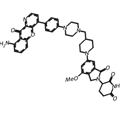 COc1cc(N2CCC(CN3CCN(c4ccc(-c5ccnc6c(=O)c7c(N)cccc7oc56)cc4)CC3)CC2)cc2c1CN(C1CCC(=O)NC1=O)C2=O